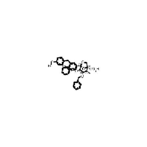 CCOc1ccc(Cc2cc([C@]34OC[C@](C(=O)O)(O3)[C@@H](C)[C@H](OCc3ccccc3)[C@H]4OCc3ccccc3)ccc2Cl)cc1